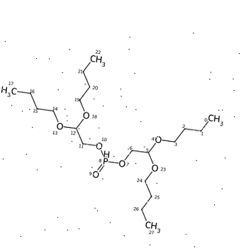 CCCCOC(CO[PH](=O)OCC(OCCCC)OCCCC)OCCCC